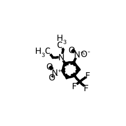 CCN(CC)c1c([N+](=O)[O-])cc(C(F)(F)F)cc1[N+](=O)[O-]